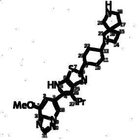 COc1cc(-c2[nH]c3sc(C4CCC(N5CCC6(CCNC6)C5)CC4)nc3c2C(C)C)cn2ncnc12